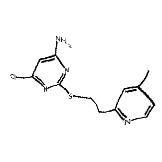 Cc1ccnc(CCSc2nc(N)cc(Cl)n2)c1